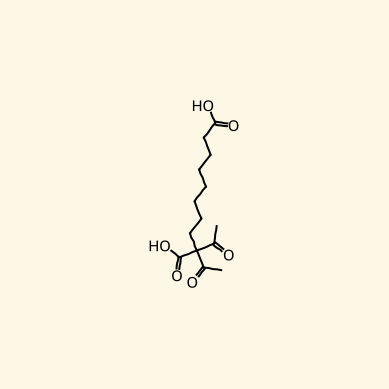 CC(=O)C(CCCCCCCC(=O)O)(C(C)=O)C(=O)O